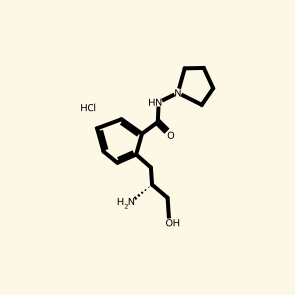 Cl.N[C@@H](CO)Cc1ccccc1C(=O)NN1CCCC1